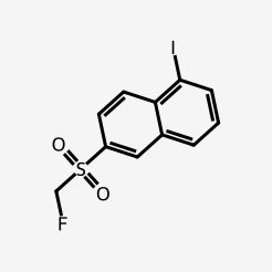 O=S(=O)(CF)c1ccc2c(I)cccc2c1